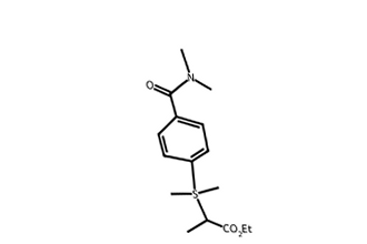 CCOC(=O)C(C)S(C)(C)c1ccc(C(=O)N(C)C)cc1